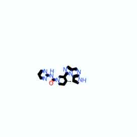 C[C@@H]1CCN(C(=O)Nc2ncccn2)CC1c1ncc2cnc3[nH]ccc3n12